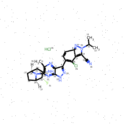 Cc1nc2c(-c3ccc4nn(C(C)C)c(C#N)c4c3Cl)n[nH]c2nc1N1[C@H]2CC[C@@H]1[C@@H](F)[C@@H](N)C2.Cl